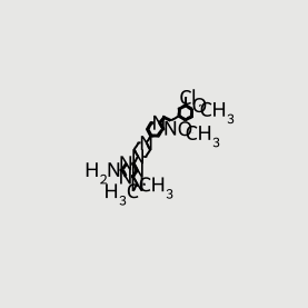 COc1cc(OC)c(-c2cn3ccc(N4CCN(c5nc(N)nc(N(C)C)n5)CC4)cc3n2)cc1Cl